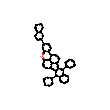 c1ccc(-c2c3ccccc3c(-c3ccccc3)c3c4ccc5c6ccc(-c7ccc8ccccc8c7)cc6oc6ccc(c23)c4c65)cc1